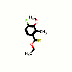 CCOC(=S)c1ccc(F)c(OC)c1C